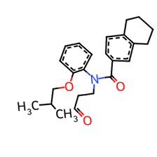 CC(C)COc1ccccc1N(CCC=O)C(=O)c1ccc2c(c1)CCCC2